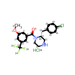 COc1cc(C(=O)N2CCNC[C@H]2Cc2ccc(Cl)cc2)cc(C(F)(F)F)c1.Cl